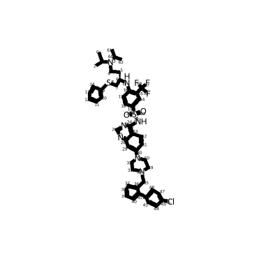 CC(C)N(CC[C@H](CSc1ccccc1)Nc1ccc(S(=O)(=O)Nc2ncnc3cc(N4CCN(Cc5ccccc5-c5ccc(Cl)cc5)CC4)ccc23)cc1C(F)(F)F)C(C)C